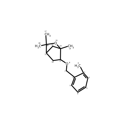 Cc1ccccc1COC1CC2CC1(C)OC2(C)C